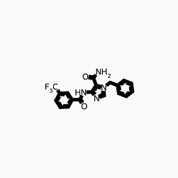 NC(=O)c1c(NC(=O)c2cccc(C(F)(F)F)c2)ncn1Cc1ccccc1